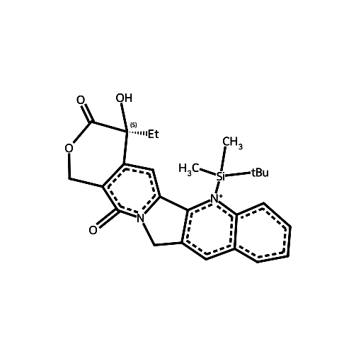 CC[C@@]1(O)C(=O)OCc2c1cc1n(c2=O)Cc2cc3ccccc3[n+]([Si](C)(C)C(C)(C)C)c2-1